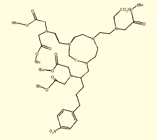 CC(C)(C)OC(=O)CN(CCN1CCN(CCN(CC(=O)OC(C)(C)C)CC(=O)OC(C)(C)C)CCN(CC(CCCc2ccc([N+](=O)[O-])cc2)N(CC(=O)OC(C)(C)C)CC(=O)OC(C)(C)C)CC1)CC(=O)O